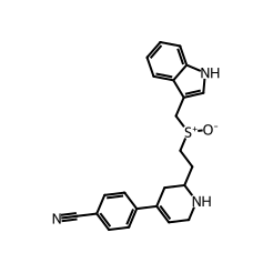 N#Cc1ccc(C2=CCNC(CC[S+]([O-])Cc3c[nH]c4ccccc34)C2)cc1